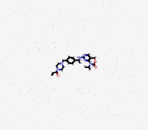 C=CC(=O)N1CCN(Cc2ccc(C(C)Nc3ncc4c(n3)N(C(C)C)C(=O)OC4)cc2)CC1